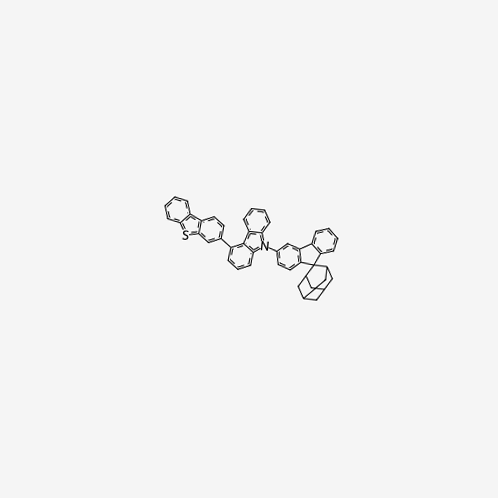 c1ccc2c(c1)-c1cc(-n3c4ccccc4c4c(-c5ccc6c(c5)sc5ccccc56)cccc43)ccc1C21C2CC3CC(C2)CC1C3